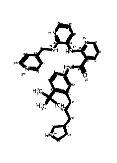 CC(C)(C)c1ccc(NC(=O)c2cccnc2Nc2cccnc2NCc2ccncc2)cc1CCCC1CCNC1